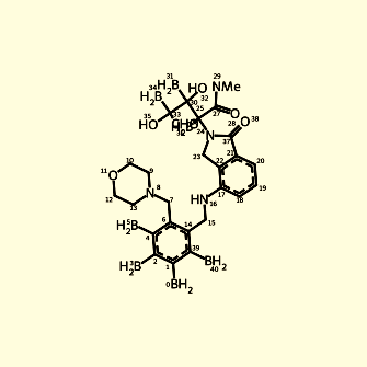 Bc1c(B)c(B)c(CN2CCOCC2)c(CNc2cccc3c2CN(C(B)(C(=O)NC)C(B)(O)C(B)(O)C=O)C3=O)c1B